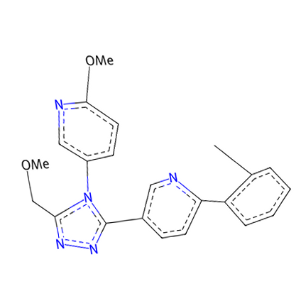 COCc1nnc(-c2ccc(-c3ccccc3C)nc2)n1-c1ccc(OC)nc1